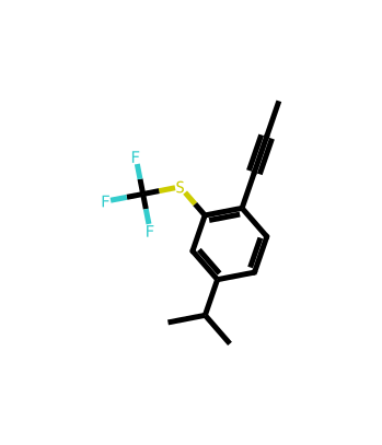 CC#Cc1ccc(C(C)C)cc1SC(F)(F)F